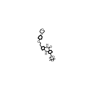 CC1(C)OB(c2ccc3c(c2)Nc2ccc(CCOc4ccc(N5CCOCC5)cc4)cc2NC3=O)OC1(C)C